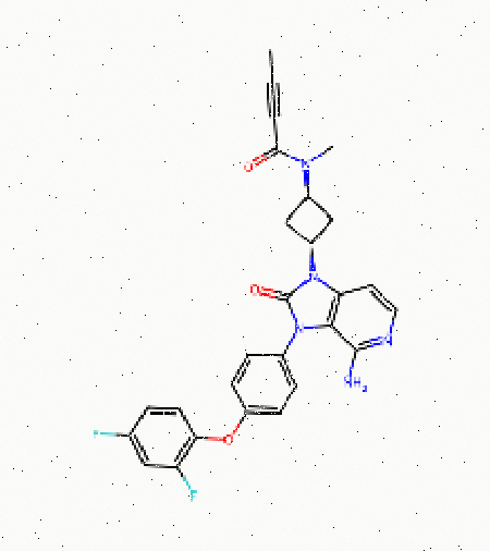 CC#CC(=O)N(C)[C@H]1C[C@@H](n2c(=O)n(-c3ccc(Oc4ccc(F)cc4F)cc3)c3c(N)nccc32)C1